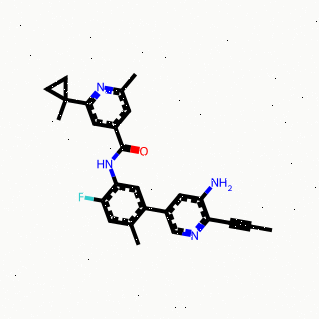 CC#Cc1ncc(-c2cc(NC(=O)c3cc(C)nc(C4(C)CC4)c3)c(F)cc2C)cc1N